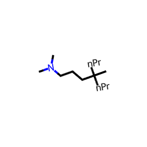 CCCC(C)(CCC)CCCN(C)C